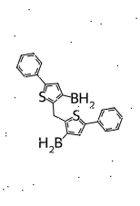 Bc1cc(-c2ccccc2)sc1Cc1sc(-c2ccccc2)cc1B